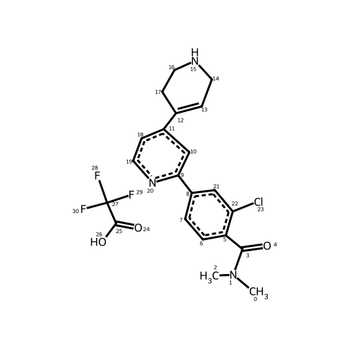 CN(C)C(=O)c1ccc(-c2cc(C3=CCNCC3)ccn2)cc1Cl.O=C(O)C(F)(F)F